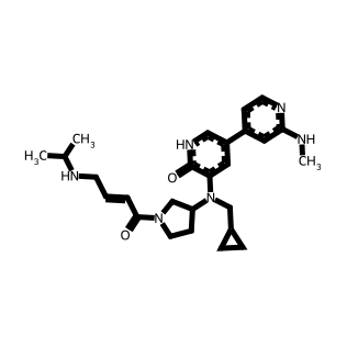 CNc1cc(-c2c[nH]c(=O)c(N(CC3CC3)C3CCN(C(=O)/C=C/CNC(C)C)C3)c2)ccn1